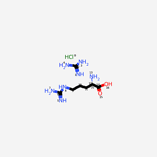 Cl.N=C(N)N.N=C(N)NCCC[C@H](N)C(=O)O